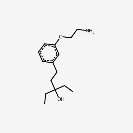 CCC(O)(CC)CCc1cccc(OCCN)c1